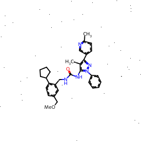 COCc1ccc(C2CCCC2)c(CNC(=O)Nc2c(C)c(-c3ccc(C)nc3)nn2-c2ccccc2)c1